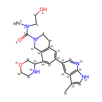 CCCN(CCO)C(=O)N1CCc2cc(-c3cnc4[nH]cc(C)c4c3)cc(C3COCCN3)c2C1